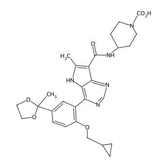 Cc1[nH]c2c(-c3cc(C4(C)OCCO4)ccc3OCC3CC3)ncnc2c1C(=O)NC1CCN(C(=O)O)CC1